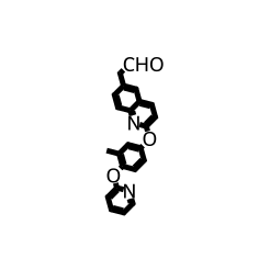 Cc1cc(Oc2ccc3cc(CC=O)ccc3n2)ccc1Oc1ccccn1